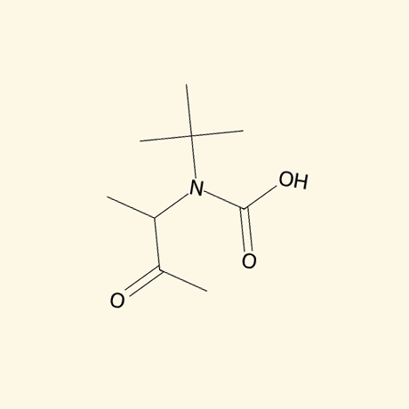 CC(=O)C(C)N(C(=O)O)C(C)(C)C